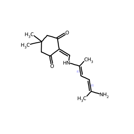 C/C(N)=C\C=C(/C)NC=C1C(=O)CC(C)(C)CC1=O